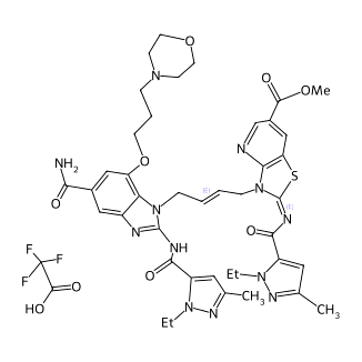 CCn1nc(C)cc1C(=O)/N=c1/sc2cc(C(=O)OC)cnc2n1C/C=C/Cn1c(NC(=O)c2cc(C)nn2CC)nc2cc(C(N)=O)cc(OCCCN3CCOCC3)c21.O=C(O)C(F)(F)F